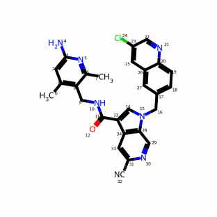 Cc1cc(N)nc(C)c1CNC(=O)c1cn(Cc2ccc3ncc(Cl)cc3c2)c2cnc(C#N)cc12